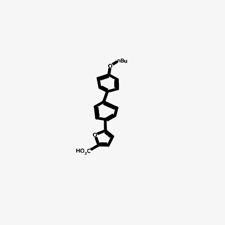 CCCCOc1ccc(-c2ccc(-c3ccc(C(=O)O)o3)cc2)cc1